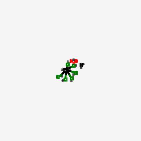 O.[Cl][Pt-2]([Cl])([Cl])([Cl])([Cl])[Cl].[H+]